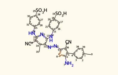 Cc1ccc(-c2c(N)sc(/N=N/c3c(Nc4ccc(S(=O)(=O)O)cc4)nc(Nc4ccc(S(=O)(=O)O)cc4)c(C#N)c3C)c2C#N)cc1